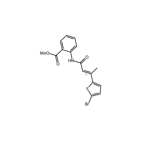 COC(=O)c1ccccc1NC(=O)/C=C(\C)c1ccc(Br)s1